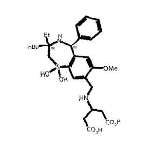 CCCC[C@]1(CC)CS(O)(O)c2cc(CNC(CC(=O)O)CC(=O)O)c(OC)cc2[C@H](c2ccccc2)N1